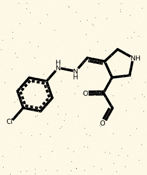 O=CC(=O)C1CNCC1=CNNc1ccc(Cl)cc1